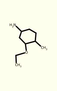 CCOC1CC(N)CCC1C